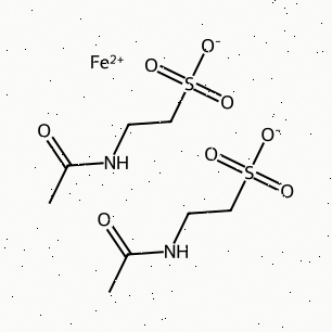 CC(=O)NCCS(=O)(=O)[O-].CC(=O)NCCS(=O)(=O)[O-].[Fe+2]